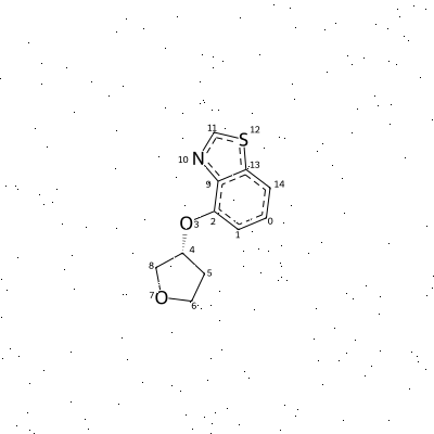 c1cc(O[C@@H]2CCOC2)c2ncsc2c1